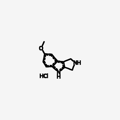 COc1ccc2[nH]c3c(c2c1)CNC3.Cl